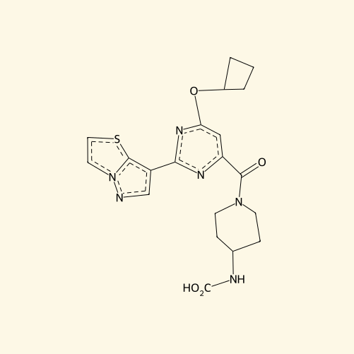 O=C(O)NC1CCN(C(=O)c2cc(OC3CCC3)nc(-c3cnn4ccsc34)n2)CC1